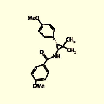 COc1ccc(C(=O)N[C@H]2[C@H](c3ccc(OC)cc3)C2(C)C)cc1